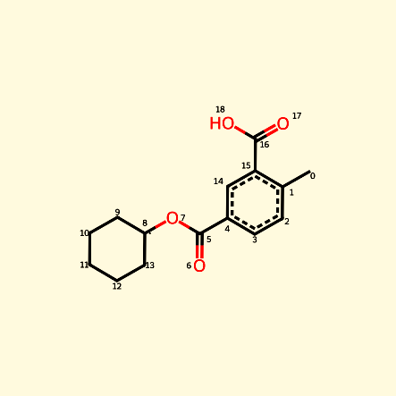 Cc1ccc(C(=O)O[C]2CCCCC2)cc1C(=O)O